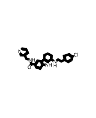 O=C(NCc1cccnc1)c1ccc2[nH]c3c(c2c1)CCCC3NCCc1ccc(Cl)cc1